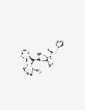 COc1cc(-n2c3c(c4ncnc(N)c42)CCC3)ccc1NC(=O)Cc1cnn(C)c1